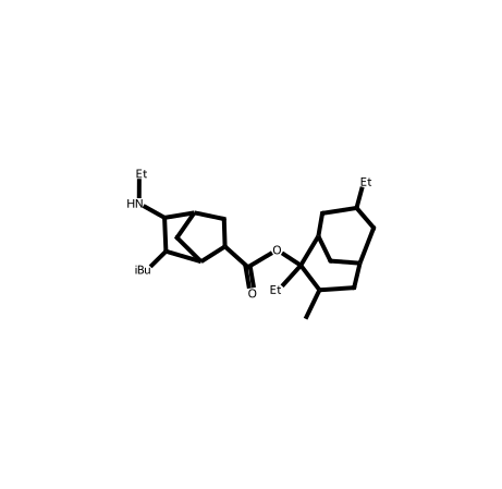 CCNC1C2CC(C(=O)OC3(CC)C(C)CC4CC(CC)CC3C4)C(C2)C1C(C)CC